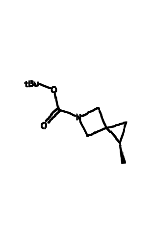 C[C@@H]1CC12CN(C(=O)OC(C)(C)C)C2